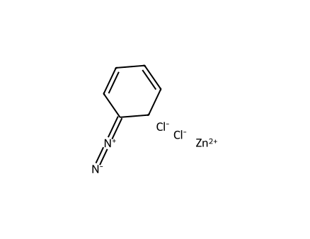 [Cl-].[Cl-].[N-]=[N+]=C1C=CC=CC1.[Zn+2]